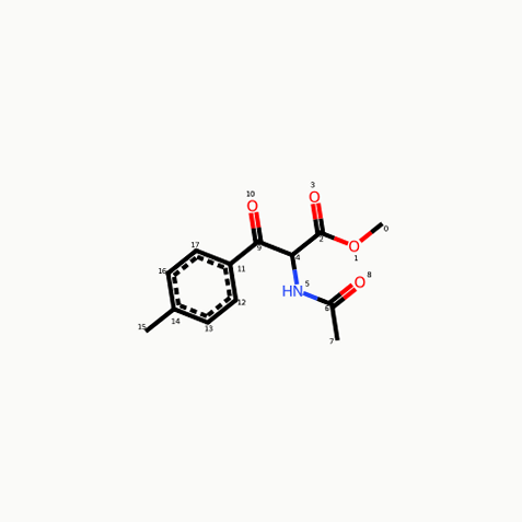 COC(=O)C(NC(C)=O)C(=O)c1ccc(C)cc1